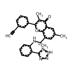 C#Cc1cccc(-c2oc3c([C@@H](C)Nc4ccccc4-c4nn[nH]n4)cc(C)cc3c(=O)c2C)c1